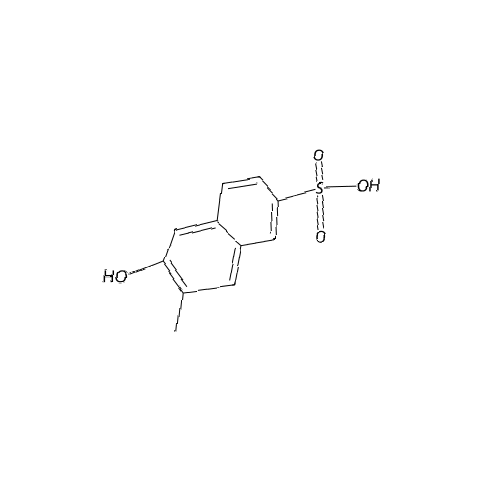 Cc1cc2cc(S(=O)(=O)O)ccc2cc1O